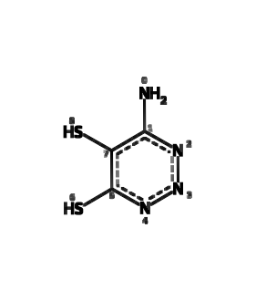 Nc1nnnc(S)c1S